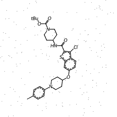 Cc1ccc(N2CCC(Oc3ccc4c(Cl)c(C(=O)NC5CCN(C(=O)OC(C)(C)C)CC5)sc4c3)CC2)cc1